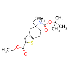 CCOC(=O)c1cc2c(s1)CCC(CC)(N(C)C(=O)OC(C)(C)C)C2